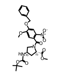 COC(=O)[C@@H]1C[C@@H](NC(=O)OC(C)(C)C)CN1C(=O)c1cc(OC)c(OCc2ccccc2)cc1[N+](=O)[O-]